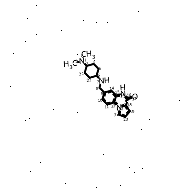 CN(C)C1CCC(NCc2ccc3c(c2)[nH]c(=O)c2cccn23)CC1